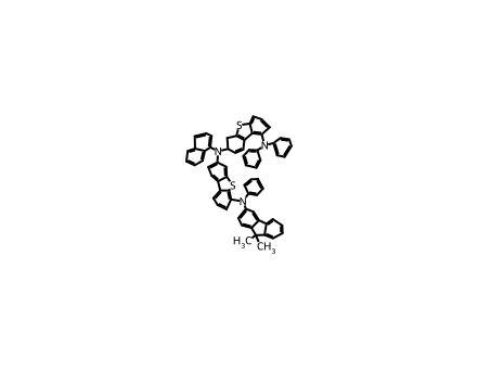 CC1(C)c2ccccc2-c2cc(N(c3ccccc3)c3cccc4c3sc3cc(N(c5cccc6ccccc56)C5C=Cc6c(sc7cccc(N(c8ccccc8)c8ccccc8)c67)C5)ccc34)ccc21